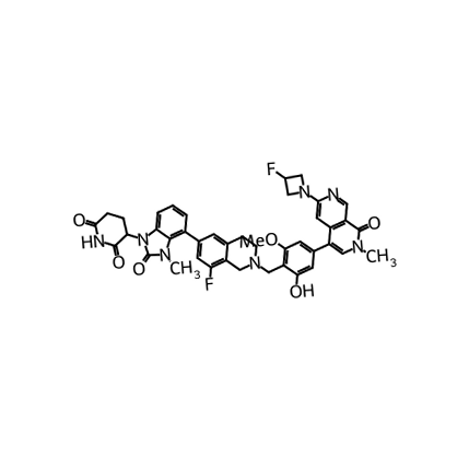 COc1cc(-c2cn(C)c(=O)c3cnc(N4CC(F)C4)cc23)cc(O)c1CN1CCc2cc(-c3cccc4c3n(C)c(=O)n4C3CCC(=O)NC3=O)cc(F)c2C1